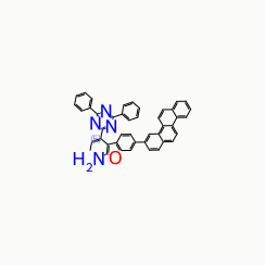 C/C=C(/c1nc(-c2ccccc2)nc(-c2ccccc2)n1)c1c(N)oc2cc(-c3ccc4ccc5c6ccccc6ccc5c4c3)ccc12